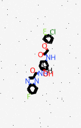 O=C(COc1ccc(Cl)c(F)c1)NC12CCC(NC(=O)c3cnc4cc(F)ccc4n3)(CC1)[C@@H](O)C2